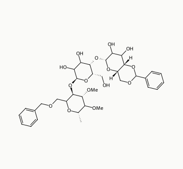 COC1[C@H](C)OC(COCc2ccccc2)[C@@H](O[C@@H]2O[C@@H](CO)[C@@H](O[C@H]3O[C@H]4COC(c5ccccc5)O[C@H]4C(O)C3O)C(O)C2O)[C@@H]1OC